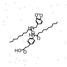 CCCCCCCCCC(=O)NCc1ccc2c(c1)OCO2.CCCCCCCCCC(=O)Nc1ccc(CCC(=O)O)cc1